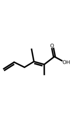 C=CC/C(C)=C(\C)C(=O)O